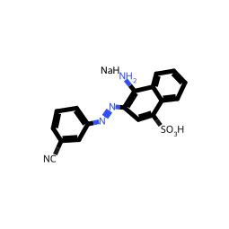 N#Cc1cccc(/N=N/c2cc(S(=O)(=O)O)c3ccccc3c2N)c1.[NaH]